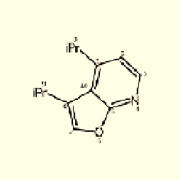 CC(C)c1ccnc2occ(C(C)C)c12